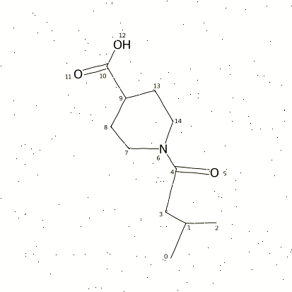 CC(C)CC(=O)N1CCC(C(=O)O)CC1